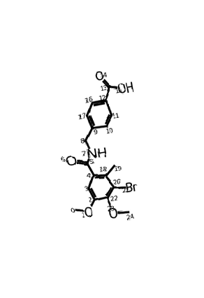 COc1cc(C(=O)NCc2ccc(C(=O)O)cc2)c(C)c(Br)c1OC